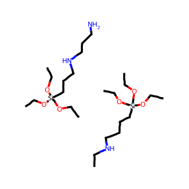 CCNCCCC[Si](OCC)(OCC)OCC.CCO[Si](CCCNCCCN)(OCC)OCC